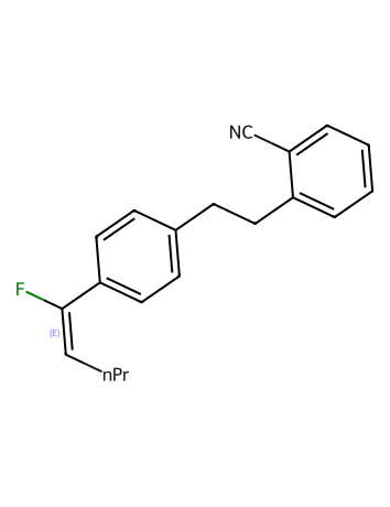 CCC/C=C(/F)c1ccc(CCc2ccccc2C#N)cc1